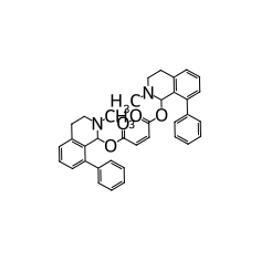 CN1CCc2cccc(-c3ccccc3)c2C1OC(=O)/C=C\C(=O)OC1c2c(cccc2-c2ccccc2)CCN1C